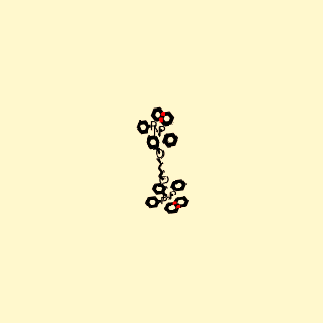 c1ccc(P(c2ccccc2)N(c2cccc(OCCCCCOc3cccc(N(P(c4ccccc4)c4ccccc4)P(c4ccccc4)c4ccccc4)c3)c2)P(c2ccccc2)c2ccccc2)cc1